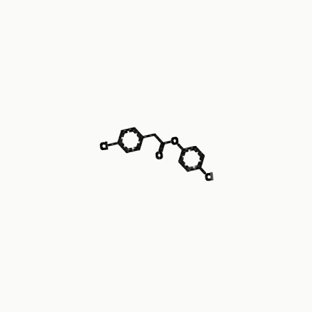 O=C(Cc1ccc(Cl)cc1)Oc1ccc(Cl)cc1